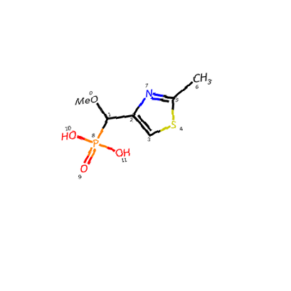 COC(c1csc(C)n1)P(=O)(O)O